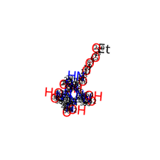 CCC(=O)CCOCCOCCOCCNC(=O)CCC(c1cccc(=O)n1O)N1CCN(Cc2cccc(=O)n2O)CCN(Cc2cccc(=O)n2O)CCN(Cc2cccc(=O)n2O)CC1